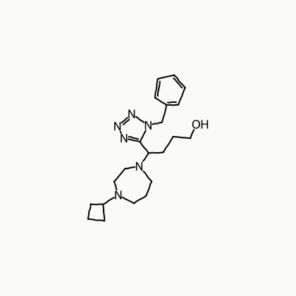 OCCCC(c1nnnn1Cc1ccccc1)N1CCCN(C2CCC2)CC1